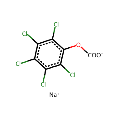 O=C([O-])Oc1c(Cl)c(Cl)c(Cl)c(Cl)c1Cl.[Na+]